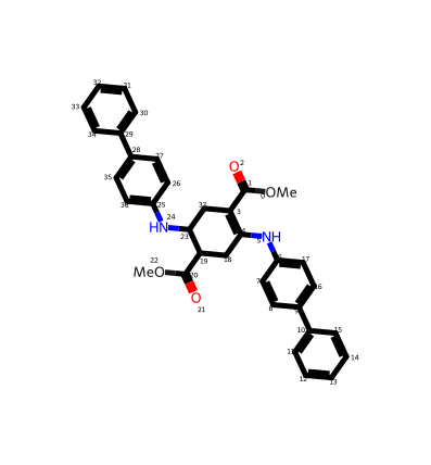 COC(=O)C1=C(Nc2ccc(-c3ccccc3)cc2)CC(C(=O)OC)C(Nc2ccc(-c3ccccc3)cc2)C1